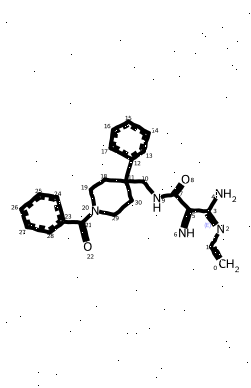 C=C/N=C(/N)C(=N)C(=O)NCC1(c2ccccc2)CCN(C(=O)c2ccccc2)CC1